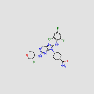 NC(=O)C1CCC(n2c(Nc3c(F)cc(F)cc3Cl)nc3cnc(N[C@H]4CCOC[C@H]4F)nc32)CC1